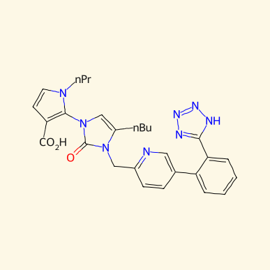 CCCCc1cn(-c2c(C(=O)O)ccn2CCC)c(=O)n1Cc1ccc(-c2ccccc2-c2nnn[nH]2)cn1